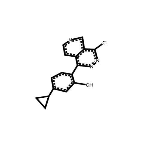 Oc1cc(C2CC2)ccc1-c1nnc(Cl)c2cnccc12